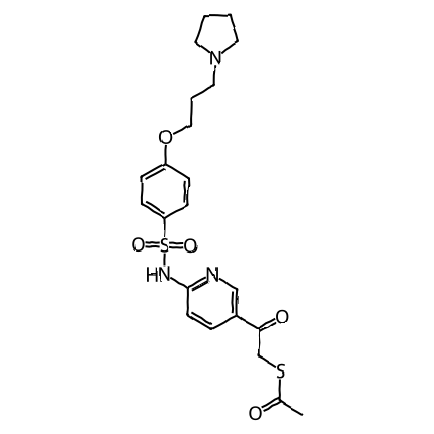 CC(=O)SCC(=O)c1ccc(NS(=O)(=O)c2ccc(OCCCN3CCCC3)cc2)nc1